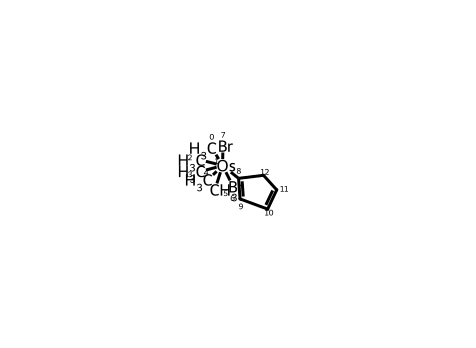 [CH3][Os]([CH3])([CH3])([CH3])([CH3])([Br])([Br])[C]1=CC=CC1